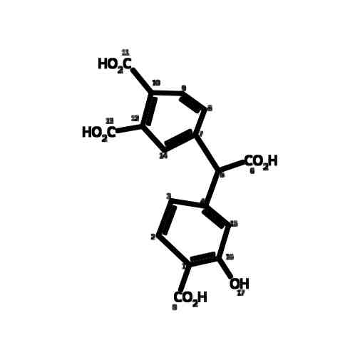 O=C(O)c1ccc(C(C(=O)O)c2ccc(C(=O)O)c(C(=O)O)c2)cc1O